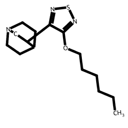 CCCCCCOc1nsnc1C1CN2CCC1CC2